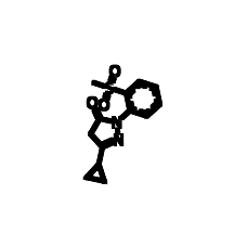 CS(=O)(=O)c1ccccc1N1N=C(C2CC2)CC1=O